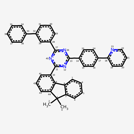 CC1(C)c2ccccc2-c2c(-c3nc(-c4ccc(-c5ccccn5)cc4)nc(-c4cccc(-c5ccccc5)c4)n3)cccc21